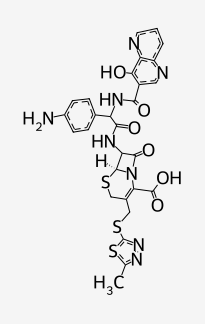 Cc1nnc(SCC2=C(C(=O)O)N3C(=O)C(NC(=O)C(NC(=O)c4cnc5cccnc5c4O)c4ccc(N)cc4)[C@@H]3SC2)s1